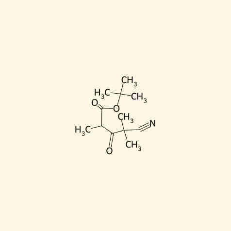 CC(C(=O)OC(C)(C)C)C(=O)C(C)(C)C#N